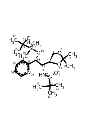 CC1(C)OC[C@H]([C@H](N[S@+]([O-])C(C)(C)C)[C@@H](O[Si](C)(C)C(C)(C)C)c2ccccn2)O1